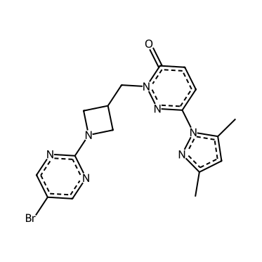 Cc1cc(C)n(-c2ccc(=O)n(CC3CN(c4ncc(Br)cn4)C3)n2)n1